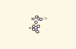 N#Cc1ccc(-c2ccc(-n3c4ccc(C#N)cc4c4cccc(C#N)c43)cc2)c(-c2ccccc2-n2c3ccccc3c3ccccc32)c1